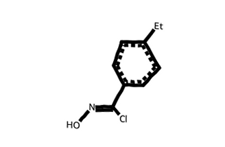 CCc1ccc(C(Cl)=NO)cc1